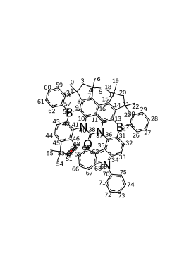 CC1(C)CC(C)(C)c2c1c1c3c4c5c(c6c(c24)C(C)(C)CC6(C)C)B(c2ccccc2)c2ccc4c(c2N5C(=O)N3c2c(ccc3c2-c2ccccc2C3(C)C)B1c1ccccc1)c1ccccc1n4-c1ccccc1